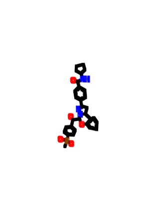 CS(=O)(=O)c1ccc(C(=O)C2Oc3ccccc3C3CC(c4ccc(C(=O)NC5CCCC5)cc4)=NN23)cc1